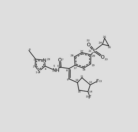 Cc1csc(NC(=O)/C(=C/C2CC(F)C(F)C2)c2ccc(S(=O)(=O)C3CC3)cc2)n1